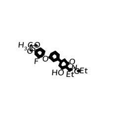 CCON=C(CC)C1=C(O)CC(c2cccc(Oc3ccc(S(C)(=O)=O)cc3F)c2)CC1=O